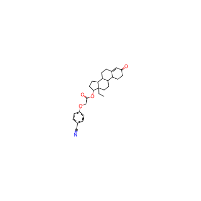 CCC12CCC3C4CCC(=O)C=C4CCC3C1CCC2OC(=O)COc1ccc(C#N)cc1